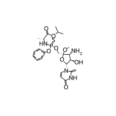 C=C1NC(=O)C=CN1[C@@H]1O[C@@](COP(=S)(N[C@H](C)C(=O)OC(C)C)Oc2ccccc2)(OC)[C@@H](N)[C@H]1O